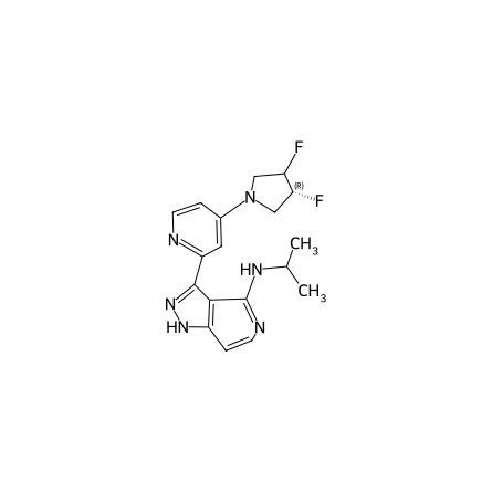 CC(C)Nc1nccc2[nH]nc(-c3cc(N4CC(F)[C@H](F)C4)ccn3)c12